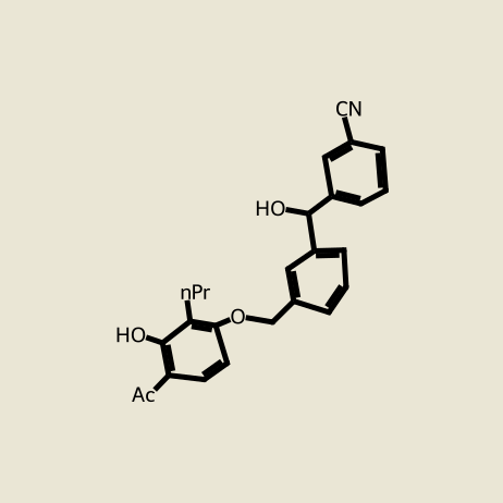 CCCc1c(OCc2cccc(C(O)c3cccc(C#N)c3)c2)ccc(C(C)=O)c1O